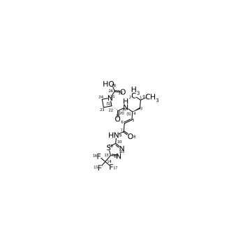 CC(C)C[C@@H](C=CC(=O)Nc1nnc(C(F)(F)F)s1)NC(=O)[C@@H]1CCN1C(=O)O